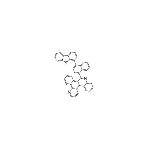 c1ccc2c(c1)nc(-c1ccc(-c3cccc4c3sc3ccccc34)c3ccccc13)c1c3cccnc3c3ncccc3c21